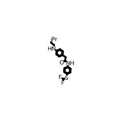 CC(C)CCNc1ccc(CC(=O)Nc2ccc(SC(F)F)cc2)cc1